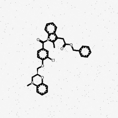 Cc1c(CC(=O)OCc2ccccc2)c2ccccc2n1C(=O)c1ccc(OC[C@@H]2CN(C)c3ccccc3O2)c(Cl)c1